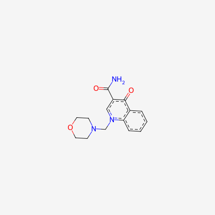 NC(=O)c1cn(CN2CCOCC2)c2ccccc2c1=O